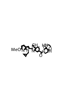 COc1ccc2cc(-c3nc4c(n3C)CCC(C(=O)N3CC[C@@H]5OCCN[C@@H]5C3)=C4)n(CC3CC3)c2n1